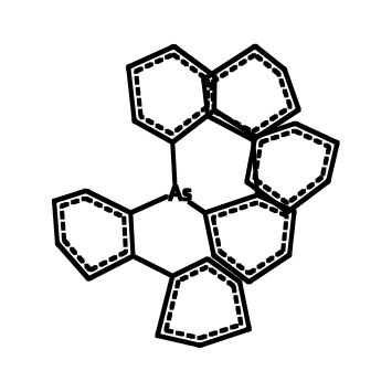 c1ccc(-c2ccccc2[As](c2ccccc2-c2ccccc2)c2ccccc2-c2ccccc2)cc1